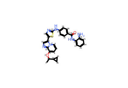 CC(Oc1cccn2c(-c3cnc(Nc4ccc(C(=O)Nc5ccccc5N)cc4)s3)cnc12)C1CC1